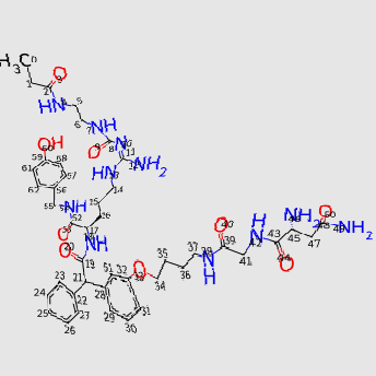 CCC(=O)NCCNC(=O)/N=C(/N)NCCC[C@@H](NC(=O)C(c1ccccc1)c1cccc(OCCCCNC(=O)CNC(=O)[C@H](N)CC(N)=O)c1)C(=O)NCc1ccc(O)cc1